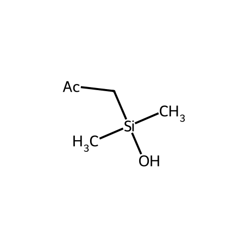 CC(=O)C[Si](C)(C)O